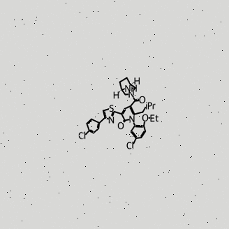 CCOc1ccc(Cl)cc1-n1c(CC(C)C)c(C(=O)N2C[C@H]3CC[C@@H](C2)N3)cc(-c2nc(-c3ccc(Cl)cc3)cs2)c1=O